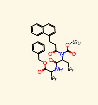 CC(C)CC(C(=O)NC(C(=O)OCc1ccccc1)C(C)C)N(C(=O)CCc1cccc2ccccc12)C(=O)OC(C)(C)C